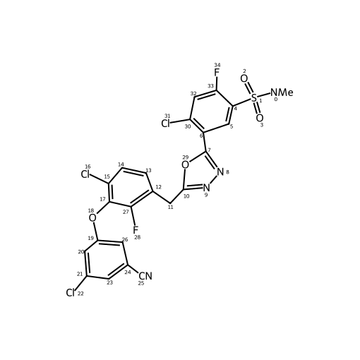 CNS(=O)(=O)c1cc(-c2nnc(Cc3ccc(Cl)c(Oc4cc(Cl)cc(C#N)c4)c3F)o2)c(Cl)cc1F